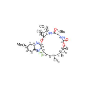 CC[C@@H]1[C@@H]2CN(C(=O)[C@H](C(C)(C)C)NC(=O)O[C@@H]3C[C@H]3CC(C)CCC(F)(F)c3nc4ccc(OC)cc4nc3O2)[C@@H]1C(=O)O